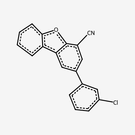 N#Cc1cc(-c2cccc(Cl)c2)cc2c1oc1ccccc12